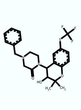 CC1(C)Oc2ccc(SC(F)(F)F)cc2C(N2CCN(Cc3ccccc3)CC2=O)C1O